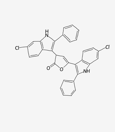 O=C1OC(c2c(-c3ccccc3)[nH]c3cc(Cl)ccc23)=CC1c1c(-c2ccccc2)[nH]c2cc(Cl)ccc12